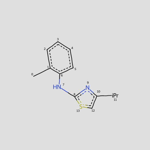 Cc1ccccc1Nc1nc(C(C)C)cs1